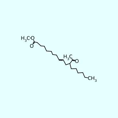 CCCCCCC(CC=CCCCCCCCC(=O)OC)C(C)=O